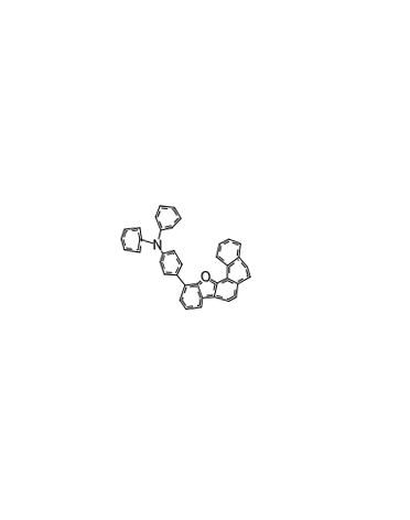 c1ccc(N(c2ccccc2)c2ccc(-c3cccc4c3oc3c4ccc4ccc5ccccc5c43)cc2)cc1